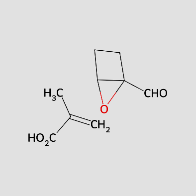 C=C(C)C(=O)O.O=CC12CCC1O2